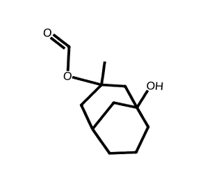 CC1(OC=O)CC2CCCC(O)(C2)C1